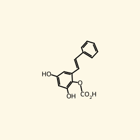 O=C(O)Oc1c(O)cc(O)cc1C=Cc1ccccc1